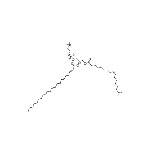 CCCCCCCCCC=CC=CC=CC=CC=CC=CC(=O)O[C@H](COC(=O)CCCCCCC/C=C\CCCCCC(C)C)COP(=O)([O-])OCC[N+](C)(C)C